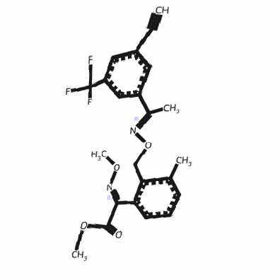 C#Cc1cc(/C(C)=N/OCc2c(C)cccc2/C(=N\OC)C(=O)OC)cc(C(F)(F)F)c1